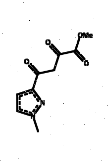 COC(=O)C(=O)CC(=O)c1ccn(C)n1